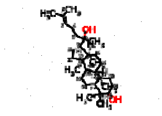 CC(C)=CCC[C@](C)(O)[C@H]1CC[C@@]2(C)[C@@H]1CC[C@@H]1[C@@]3(C)CC[C@@H](O)C(C)(C)C3CC[C@]12C